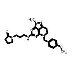 COc1ccc(CN2CCc3nn(C)c4nc(NCCCN5CCCC5=O)nc2c34)cc1